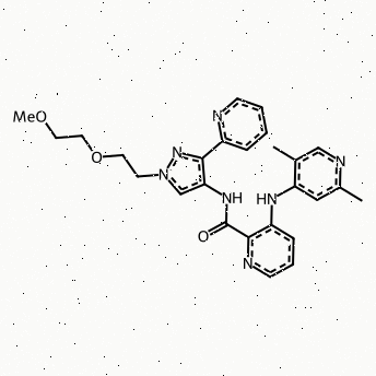 COCCOCCn1cc(NC(=O)c2ncccc2Nc2cc(C)ncc2C)c(-c2ccccn2)n1